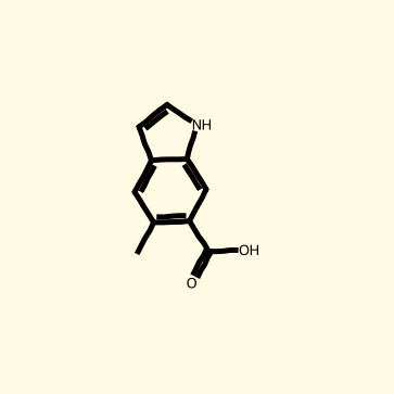 Cc1cc2cc[nH]c2cc1C(=O)O